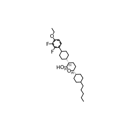 CCCCCC1CCC([C@H]2CC[C@@H](C3CCC(c4ccc(OCC)c(F)c4F)CC3)[C@H](O)O2)CC1